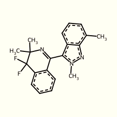 Cc1cccc2c(C3=NC(C)(C)C(F)(F)c4ccccc43)n(C)nc12